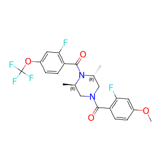 COc1ccc(C(=O)N2C[C@@H](C)N(C(=O)c3ccc(OC(F)(F)F)cc3F)[C@H](C)C2)c(F)c1